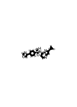 O=S(=O)(Nc1ccnc2cc(C3CC3)nn12)c1ccc(-c2cocn2)cc1